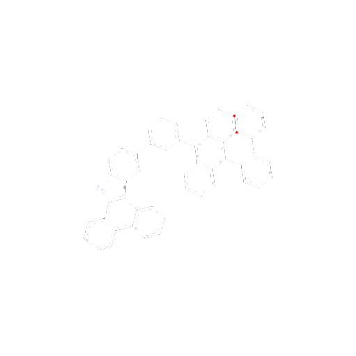 c1ccc(-c2ccccc2-c2c3ccccc3c(-c3cccc(-c4ccc5[nH]c6c7ccccc7c7ccccc7c6c5c4)c3)c3ccccc23)cc1